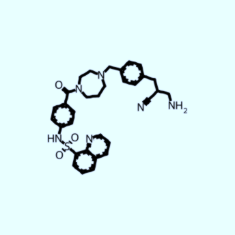 N#CC(CN)Cc1ccc(CN2CCCN(C(=O)c3ccc(NS(=O)(=O)c4cccc5cccnc45)cc3)CC2)cc1